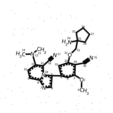 COc1cc(-c2cnc3ccc(N(C)C)c(C#N)n23)cc(OCC2(N)CCCC2)c1C#N